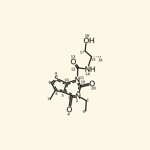 CCn1c(=O)c2c(C)[c]sc2n(C(=O)N[C@@H](C)CO)c1=O